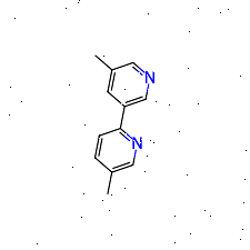 Cc1ccc(-c2cncc(C)c2)nc1